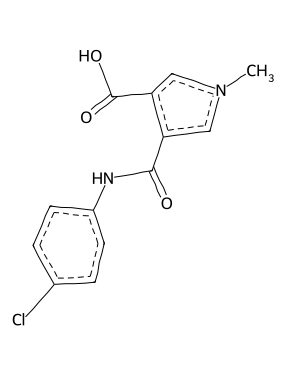 Cn1cc(C(=O)O)c(C(=O)Nc2ccc(Cl)cc2)c1